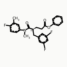 Cc1cc(N(C)C(=O)[C@@H](CCC(=O)Oc2ccccc2)Cc2cc(F)cc(F)c2)ccc1F